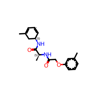 CC1=C[C]=C[C@@H](NC(=O)[C@H](C)NC(=O)COc2cccc(C)c2)C1